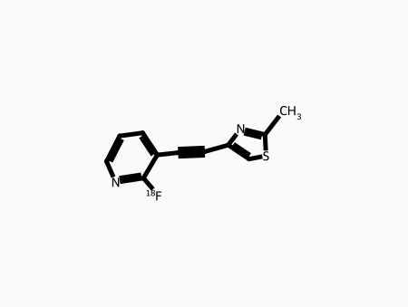 Cc1nc(C#Cc2cccnc2[18F])cs1